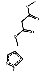 COC(=O)CC(=O)OC.c1cn[nH]c1